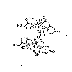 C[C@@H]1C[C@H]2[C@H]3[C@H]([C@@H](O)C[C@]2(C)[C@@]1(O)C(=O)CO)[C@@]1(C)C=CC(=O)C=C1C[C@H]3Cl.C[C@@H]1C[C@H]2[C@H]3[C@H]([C@@H](O)C[C@]2(C)[C@@]1(O)C(=O)CO)[C@@]1(C)C=CC(=O)C=C1C[C@H]3Cl